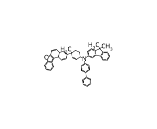 CC1(C2=CC3C=Cc4oc5ccccc5c4C3C=C2)C=CC(N(c2ccc(-c3ccccc3)cc2)c2ccc3c(c2)-c2ccccc2C3(C)C)CC1